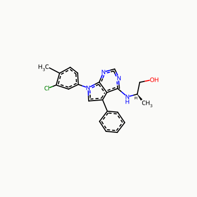 Cc1ccc(-n2cc(-c3ccccc3)c3c(N[C@H](C)CO)ncnc32)cc1Cl